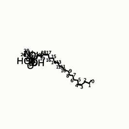 CCC/C=C\CCCCCCCCCCCC/C=C\CCCC(O)(C[N+](C)(C)C)P(=O)(O)O